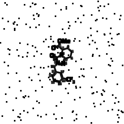 COC(=O)C1CCCc2nn(Cc3cccc(C(F)(F)F)c3)c(=O)n21